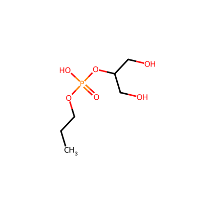 CCCOP(=O)(O)OC(CO)CO